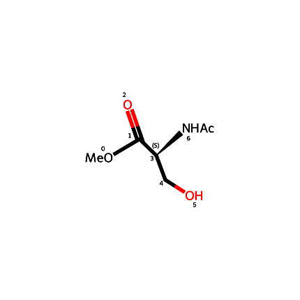 [CH2]OC(=O)[C@H](CO)NC(C)=O